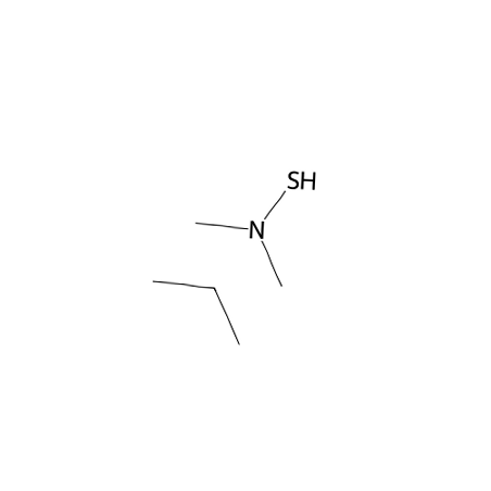 CCC.CN(C)S